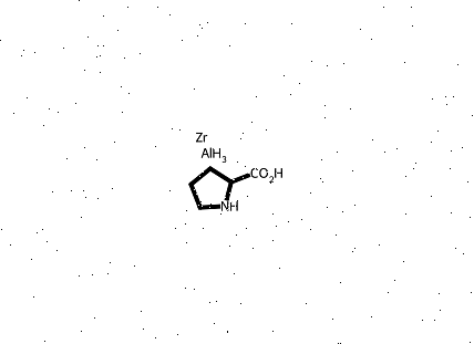 O=C(O)C1CCCN1.[AlH3].[Zr]